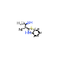 CC(=N)/C(C#N)=C1/Nc2ccccc2S1